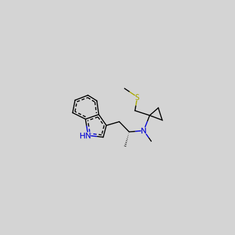 CSCC1(N(C)[C@H](C)Cc2c[nH]c3ccccc23)CC1